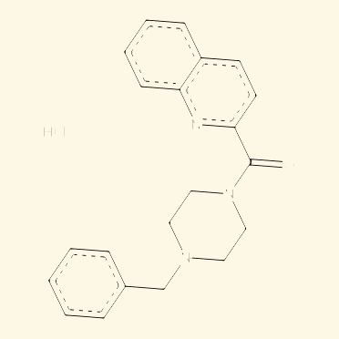 Cl.O=C(c1ccc2ccccc2n1)N1CCN(Cc2ccccc2)CC1